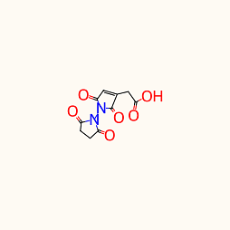 O=C(O)CC1=CC(=O)N(N2C(=O)CCC2=O)C1=O